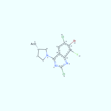 CC(=O)O[C@H]1CCN(c2nc(Cl)nc3c(F)c(Br)c(Cl)cc23)C1